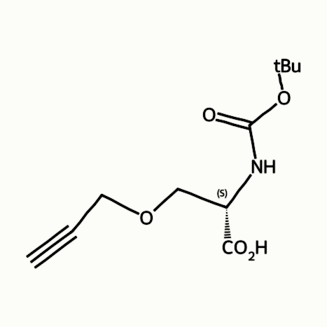 C#CCOC[C@H](NC(=O)OC(C)(C)C)C(=O)O